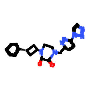 O=C1C(=O)N([C@H]2C[C@@H](c3ccccc3)C2)CCN1Cc1ccc(-n2ccnn2)nn1